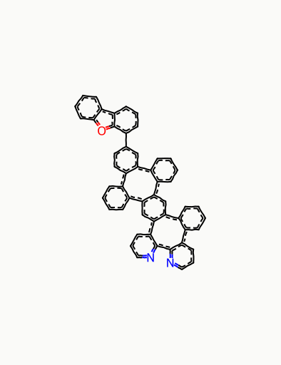 c1ccc2c(c1)oc1c(-c3ccc4c5ccccc5c5cc6c(cc5c5ccccc5c4c3)c3ccccc3c3cccnc3c3ncccc63)cccc12